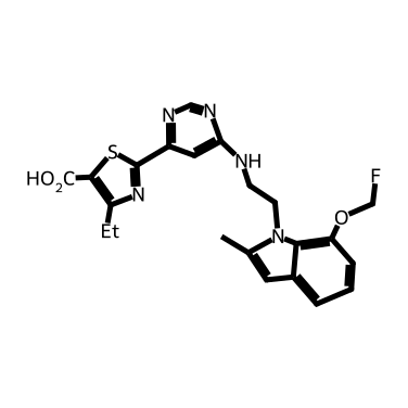 CCc1nc(-c2cc(NCCn3c(C)cc4cccc(OCF)c43)ncn2)sc1C(=O)O